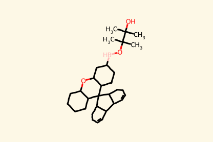 CC(C)(O)C(C)(C)OBC1CCC2C(C1)OC1CCCCC1C21C2CCC=CC2C2C=CCCC21